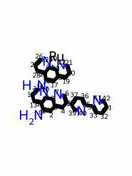 Nc1cc2cccnc2c2ncccc12.Nc1cc2cccnc2c2ncccc12.[Ru].c1ccc(-c2ccccn2)nc1